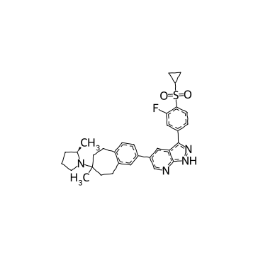 C[C@@H]1CCCN1C1(C)CCc2ccc(-c3cnc4[nH]nc(-c5ccc(S(=O)(=O)C6CC6)c(F)c5)c4c3)cc2CC1